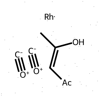 CC(=O)/C=C(/C)O.[C-]#[O+].[C-]#[O+].[Rh]